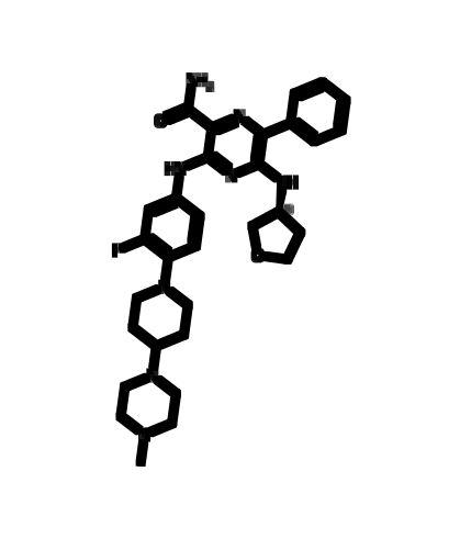 CN1CCN(C2CCN(c3ccc(Nc4nc(N[C@H]5CCOC5)c(-c5ccccc5)nc4C(N)=O)cc3F)CC2)CC1